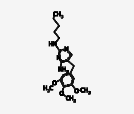 CCCCCNc1ncc(Cc2cc(OC)c(OC)c(OC)c2)c(N)n1